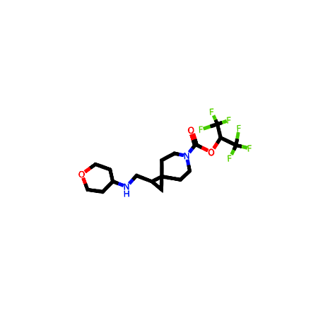 O=C(OC(C(F)(F)F)C(F)(F)F)N1CCC2(CC1)CC2CNC1CCOCC1